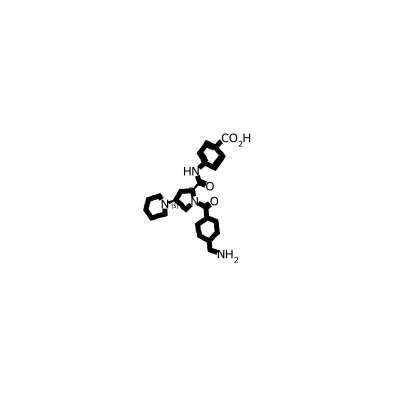 NCC1CCC(C(=O)N2C[C@@H](N3CCCCC3)C[C@H]2C(=O)Nc2ccc(C(=O)O)cc2)CC1